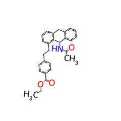 CCOC(=O)c1ccc(CCc2cccc3c2C(NC(C)=O)c2ccccc2C3)cc1